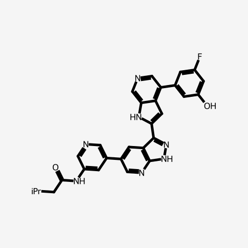 CC(C)CC(=O)Nc1cncc(-c2cnc3[nH]nc(-c4cc5c(-c6cc(O)cc(F)c6)cncc5[nH]4)c3c2)c1